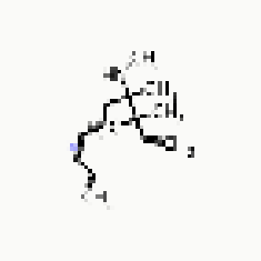 C=C/C=C\CCC(C)(NC)C(C)(C)C=C